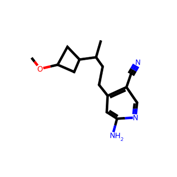 COC1CC(C(C)CCc2cc(N)ncc2C#N)C1